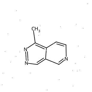 Cc1nncc2cnccc12